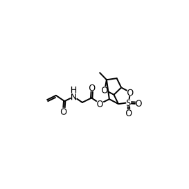 C=CC(=O)NCC(=O)OC1C2C3OC1(C)CC3OS2(=O)=O